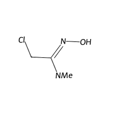 CN/C(CCl)=N\O